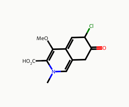 COC1=C(C(=O)O)N(C)C=C2CC(=O)C(Cl)C=C21